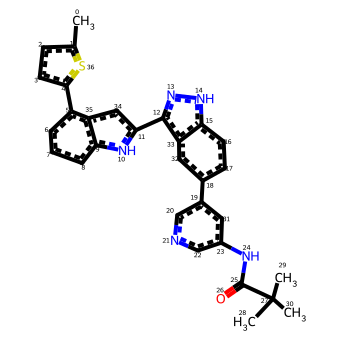 Cc1ccc(-c2cccc3[nH]c(-c4n[nH]c5ccc(-c6cncc(NC(=O)C(C)(C)C)c6)cc45)cc23)s1